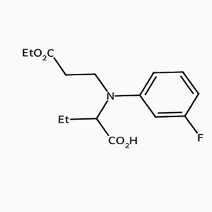 CCOC(=O)CCN(c1cccc(F)c1)C(CC)C(=O)O